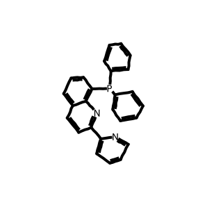 c1ccc(P(c2ccccc2)c2cccc3ccc(-c4ccccn4)nc23)cc1